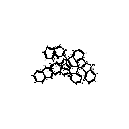 c1ccc(N(c2ccc3c(c2)-c2ccccc2C32c3c(cccc3N(c3ccccc3)c3cccc4ccccc34)-c3oc4ccccc4c32)c2ccc3ccccc3c2)cc1